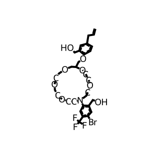 C=CCc1ccc(OCC2COCCOCCOCCN(c3cc(C(F)(F)F)c(Br)cc3CO)CCOCCO2)c(CO)c1